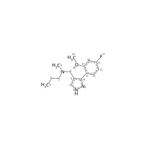 CCCN(C)Cc1c[nH]nc1-c1ccc(F)cc1OC